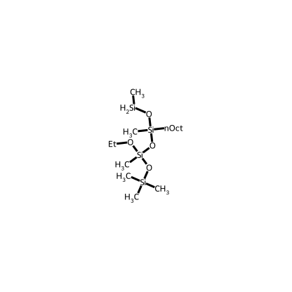 CCCCCCCC[Si](C)(O[SiH2]C)O[Si](C)(OCC)O[Si](C)(C)C